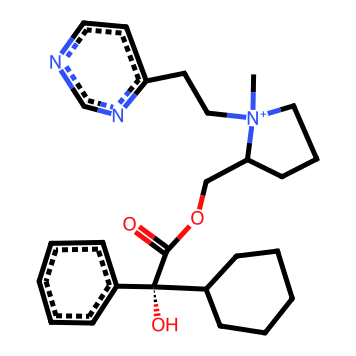 C[N+]1(CCc2ccncn2)CCCC1COC(=O)[C@](O)(c1ccccc1)C1CCCCC1